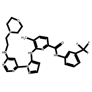 Cc1ccc(C(=O)Nc2cccc(C(F)(F)F)c2)nc1Nc1ccnn1-c1cc(NCCN2CCOCC2)ncn1